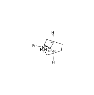 CC(C)N1C[C@H]2CC[C@@H](C1)[C@@H]2N